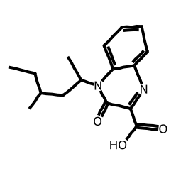 CCC(C)CC(C)n1c(=O)c(C(=O)O)nc2ccccc21